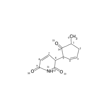 CC1CC=CC(C2C=CC(=O)NC2=O)C1=O